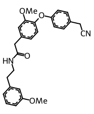 COc1cccc(CCNC(=O)Cc2ccc(Oc3ccc(CC#N)cc3)c(OC)c2)c1